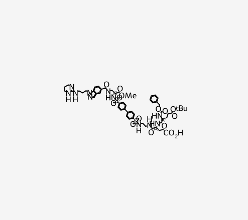 COC(=O)[C@H](CNC(=O)c1ccc2c(cnn2CCCNC2=NCCCN2)c1)NS(=O)(=O)c1ccc(-c2ccc(S(=O)(=O)NCCNC(=O)[C@H](CCC(=O)O)NC(=O)[C@H](CCC(=O)OC(C)(C)C)NC(=O)OCc3ccccc3)cc2)cc1